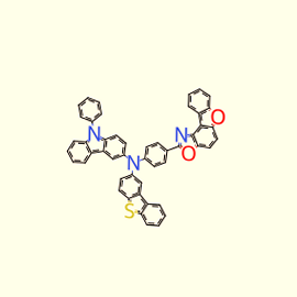 c1ccc(-n2c3ccccc3c3cc(N(c4ccc(-c5nc6c(ccc7oc8ccccc8c76)o5)cc4)c4ccc5sc6ccccc6c5c4)ccc32)cc1